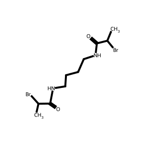 CC(Br)C(=O)NCCCCNC(=O)C(C)Br